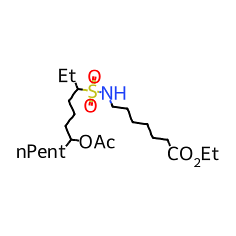 CCCCCC(CCCC(CC)S(=O)(=O)NCCCCCCC(=O)OCC)OC(C)=O